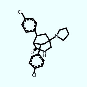 O=C1NCC2(N3CCCC3)CC(c3ccc(Cl)cc3)C1C(c1ccc(Cl)cc1)C2